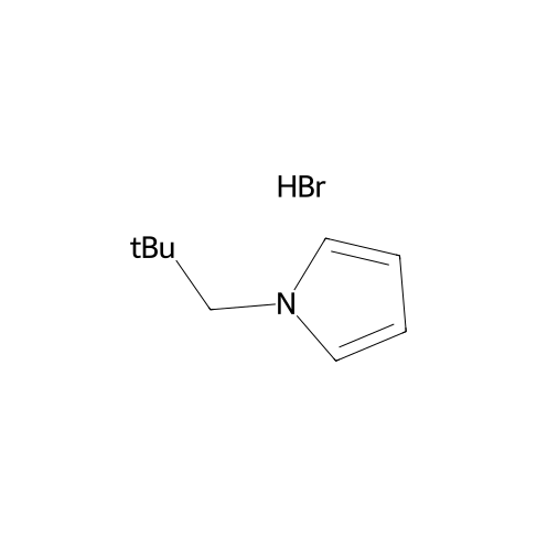 Br.CC(C)(C)Cn1cccc1